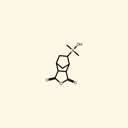 C[Si](C)(O)C1CC2CC1C1C(=O)OC(=O)C21